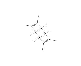 CC1=C(C)C2(C)C1(C)C1(C)C(C)=C(C)C21C